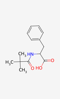 CC(C)(C)C(=O)NC(Cc1ccccc1)C(=O)O